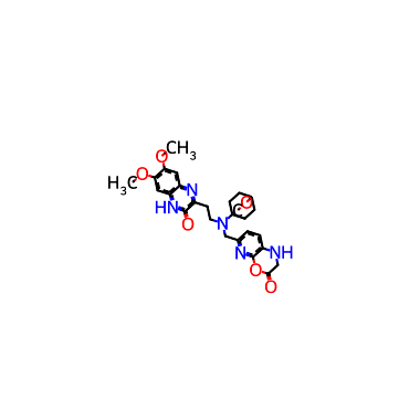 COc1cc2nc(CCN(Cc3ccc4c(n3)OC(=O)CN4)C34CCC(CC3)OC4)c(=O)[nH]c2cc1OC